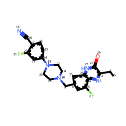 CCc1nc2c(F)cc(CN3CCN(c4ccc(C#N)c(F)c4)CC3)cc2[nH]c1=O